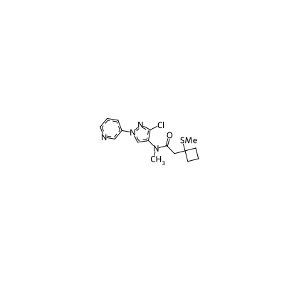 CSC1(CC(=O)N(C)c2cn(-c3cccnc3)nc2Cl)CCC1